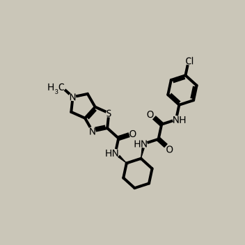 CN1Cc2nc(C(=O)N[C@@H]3CCCC[C@@H]3NC(=O)C(=O)Nc3ccc(Cl)cc3)sc2C1